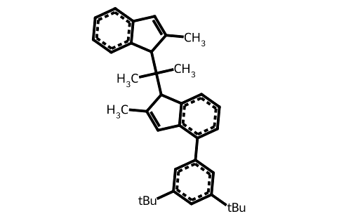 CC1=Cc2ccccc2C1C(C)(C)C1C(C)=Cc2c(-c3cc(C(C)(C)C)cc(C(C)(C)C)c3)cccc21